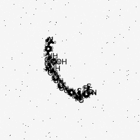 Cc1ncsc1-c1ccc([C@H](C)NC(=O)[C@@H]2C[C@@H](O)CN2C(=O)[C@@H](NC(=O)CN2CCO[C@@H](CN3CCO[C@@H](COc4ccc(N5C(=S)N(c6ccc(C#N)c(C(F)(F)F)c6)C(=O)C5(C)C)cc4)C3)C2)C(C)(C)C)cc1